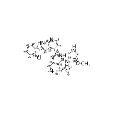 CO[C@@H]1CNC[C@H]1NC1NC(c2ccnc3[nH]c(-c4ccccc4Cl)cc23)=Nc2cncc(C3CC3)c21